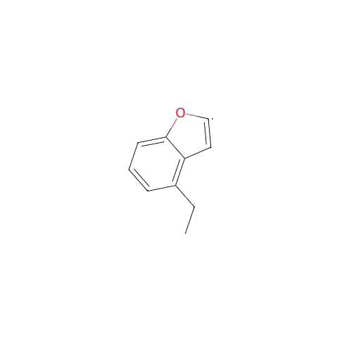 CCc1cccc2o[c]cc12